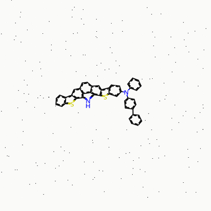 c1ccc(-c2ccc(N(c3ccccc3)c3ccc4c(c3)sc3c4cc4ccc5cc6c7ccccc7sc6c6[nH]c3c4c56)cc2)cc1